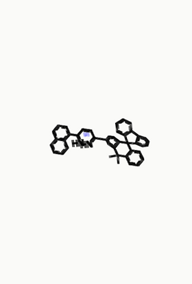 CC1(C)c2ccccc2C2(c3ccccc3-c3ccccc32)c2ccc(C(=N)/C=C\C(=N)c3cccc4ccccc34)cc21